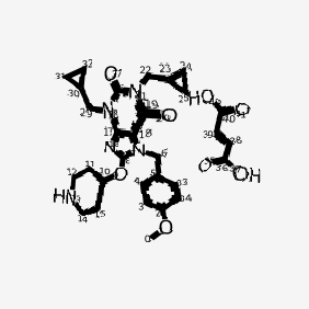 COc1ccc(Cn2c(OC3CCNCC3)nc3c2c(=O)n(CC2CC2)c(=O)n3CC2CC2)cc1.O=C(O)C=CC(=O)O